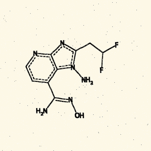 NC(=NO)c1ccnc2nc(CC(F)F)n(N)c12